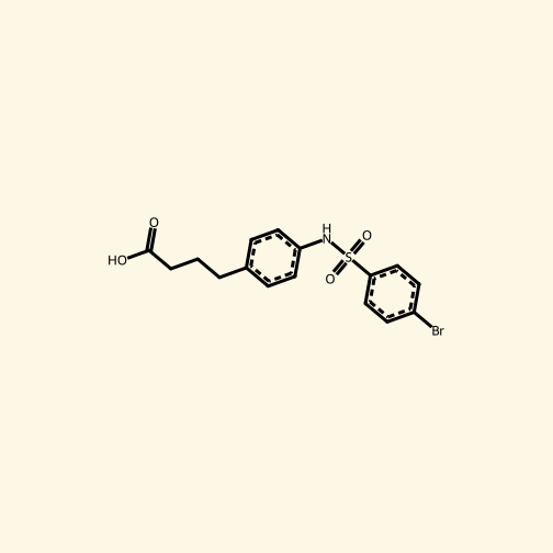 O=C(O)CCCc1ccc(NS(=O)(=O)c2ccc(Br)cc2)cc1